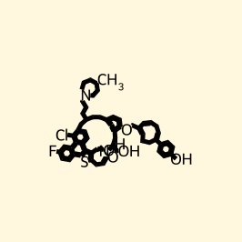 CC1CCCN(CCCC2CCc3ccc(OCC4=C\CC/C(c5ccc(O)cc5)=C\C/C=C\4)c(c3)C[C@H](C(=O)O)OC3=NC=CCc4sc5c6ccc(F)cc6c6c(Cl)c(ccc6c5c43)C2)CC1